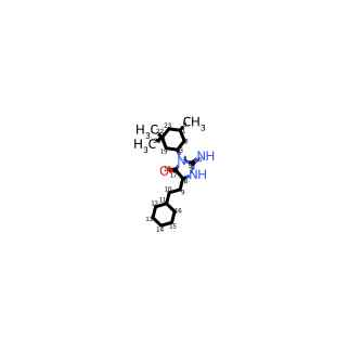 CC1CC(N2C(=N)NC(CCC3CCCCC3)C2=O)CC(C)(C)C1